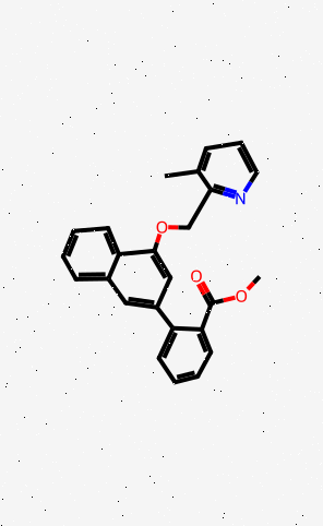 COC(=O)c1ccccc1-c1cc(OCc2ncccc2C)c2ccccc2c1